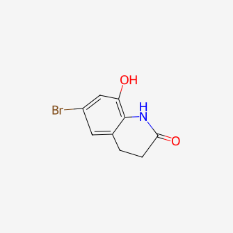 O=C1CCc2cc(Br)cc(O)c2N1